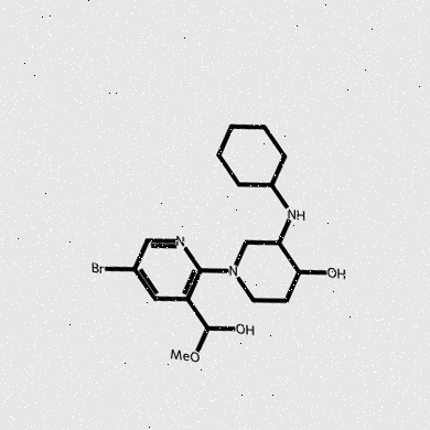 COC(O)c1cc(Br)cnc1N1CCC(O)C(NC2CCCCC2)C1